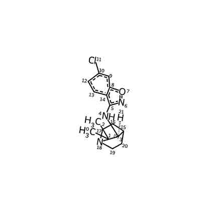 CC1(C)[C@@H](Nc2noc3cc(Cl)ccc23)C2CCN1CC2